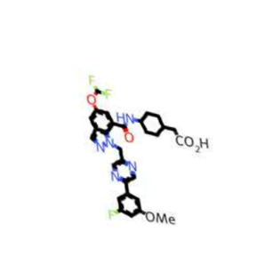 COc1cc(F)cc(-c2cnc(Cn3ncc4cc(OC(F)F)cc(C(=O)NC5CCC(CC(=O)O)CC5)c43)cn2)c1